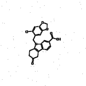 O=C1CCc2c(c3ccc(C(=O)O)cc3n2Cc2cc3c(cc2Cl)OCO3)C1